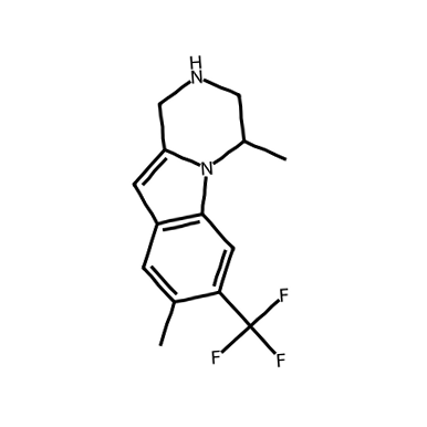 Cc1cc2cc3n(c2cc1C(F)(F)F)C(C)CNC3